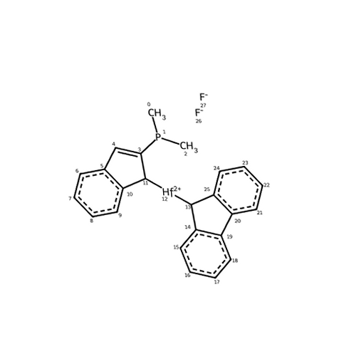 CP(C)C1=Cc2ccccc2[CH]1[Hf+2][CH]1c2ccccc2-c2ccccc21.[F-].[F-]